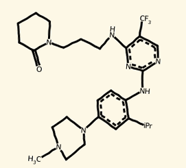 CC(C)c1cc(N2CCN(C)CC2)ccc1Nc1ncc(C(F)(F)F)c(NCCCN2CCCCC2=O)n1